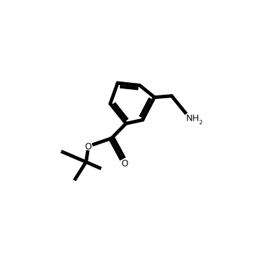 CC(C)(C)OC(=O)c1cccc(CN)c1